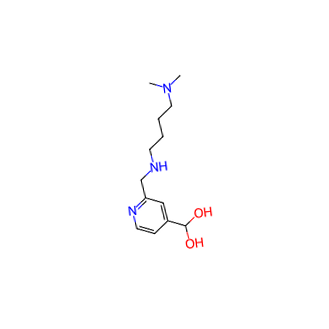 CN(C)CCCCNCc1cc(C(O)O)ccn1